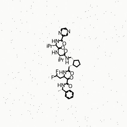 CC(C)[C@H](NC(=O)[C@H](NC(=O)c1cnccn1)C(C)C)C(=O)NC[C@@H]1CCC[C@@H]1CC(=O)NC(CC(F)F)C(=O)C(=O)N[C@@H](C)c1ccccc1